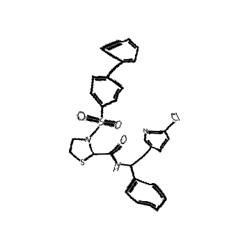 O=C(NC(c1ccccc1)c1ccc(Cl)nc1)C1SCCN1S(=O)(=O)c1ccc(-c2ccccc2)cc1